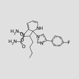 CCCCC(C(=O)C(N)=O)C1(n2cnc(-c3ccc(F)cc3)c2)NC=CC=C1C(N)=O